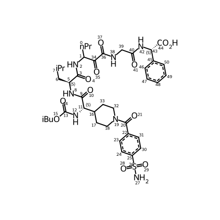 CCCC(NC(=O)[C@H](CC(C)C)NC(=O)[C@@H](NC(=O)OCC(C)C)C1CCN(C(=O)c2ccc(S(N)(=O)=O)cc2)CC1)C(=O)C(=O)NCC(=O)N[C@H](C(=O)O)c1ccccc1